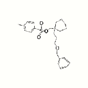 Cc1ccc(S(=O)(=O)OCC2(CCCOCc3ccccc3)CCCCC2)cc1